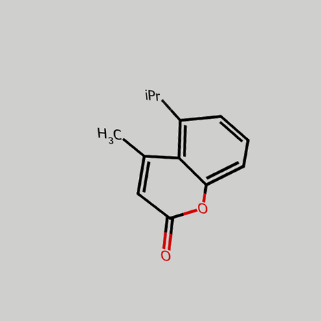 Cc1cc(=O)oc2cccc(C(C)C)c12